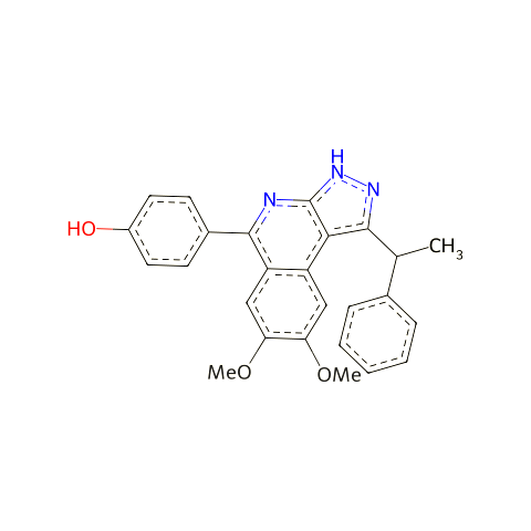 COc1cc2c(-c3ccc(O)cc3)nc3[nH]nc(C(C)c4ccccc4)c3c2cc1OC